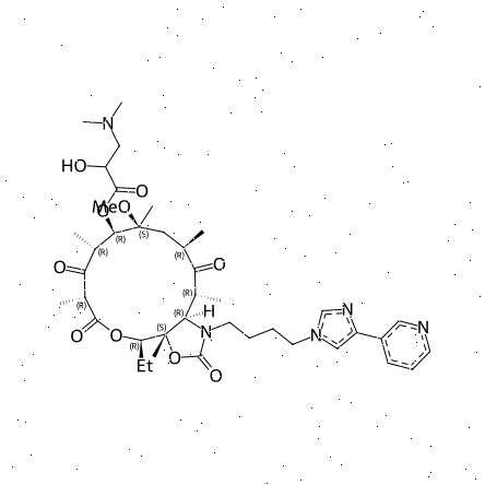 CC[C@H]1OC(=O)[C@H](C)C(=O)[C@H](C)[C@@H](OC(=O)C(O)CN(C)C)[C@@](C)(OC)C[C@@H](C)C(=O)[C@H](C)[C@H]2N(CCCCn3cnc(-c4cccnc4)c3)C(=O)O[C@]12C